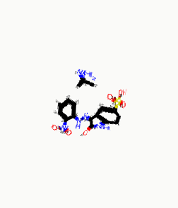 CC(C)N.O=C1Nc2ccc(S(=O)(=O)O)cc2/C1=N/Nc1ccccc1[N+](=O)[O-]